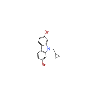 Brc1ccc2c3ccc(Br)cc3n(CC3CC3)c2c1